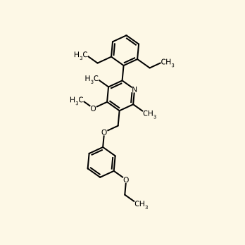 CCOc1cccc(OCc2c(C)nc(-c3c(CC)cccc3CC)c(C)c2OC)c1